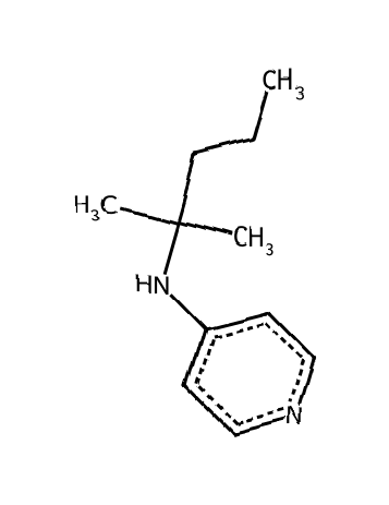 CCCC(C)(C)Nc1ccncc1